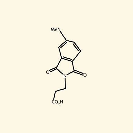 CNc1ccc2c(c1)C(=O)N(CCC(=O)O)C2=O